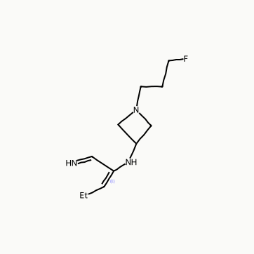 CC/C=C(\C=N)NC1CN(CCCF)C1